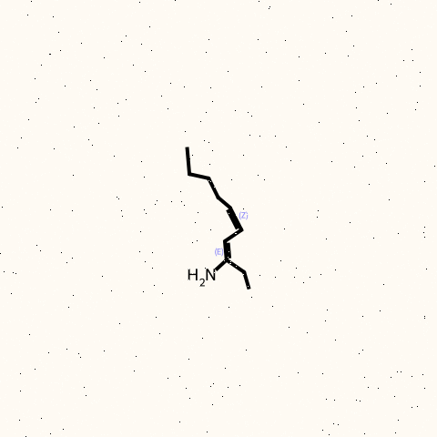 CCCC/C=C\C=C(\N)CC